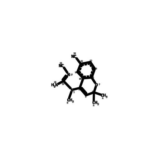 CN(C1=CC(C)(C)Oc2ccc(C#N)cc21)C(N)=NC#N